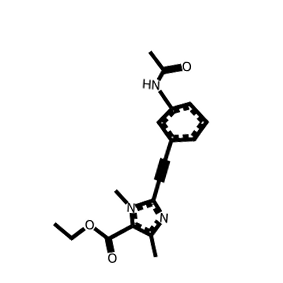 CCOC(=O)c1c(C)nc(C#Cc2cccc(NC(C)=O)c2)n1C